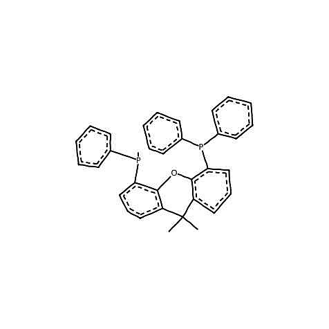 CP(c1ccccc1)c1cccc2c1Oc1c(P(c3ccccc3)c3ccccc3)cccc1C2(C)C